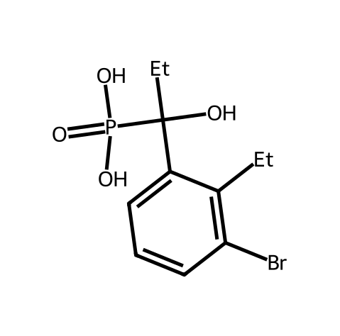 CCc1c(Br)cccc1C(O)(CC)P(=O)(O)O